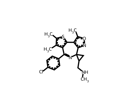 CNCC1CC12N=C(c1ccc(Cl)cc1)c1c(sc(C)c1C)-c1c2noc1C